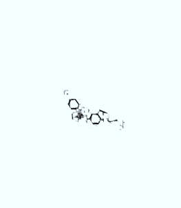 CN(C)CCn1ccc2cc(NS(=O)(=O)c3ccc(F)cc3)ccc21